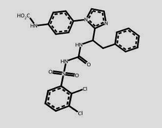 O=C(O)Nc1ccc(-n2ccnc2C(Cc2ccccc2)NC(=O)NS(=O)(=O)c2cccc(Cl)c2Cl)cc1